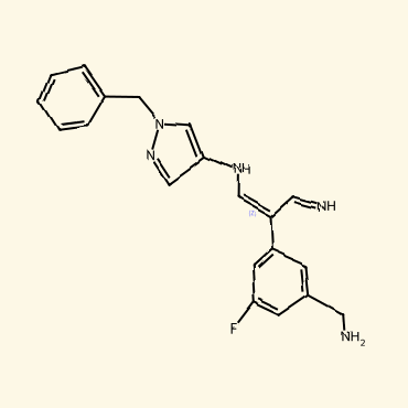 N=C/C(=C\Nc1cnn(Cc2ccccc2)c1)c1cc(F)cc(CN)c1